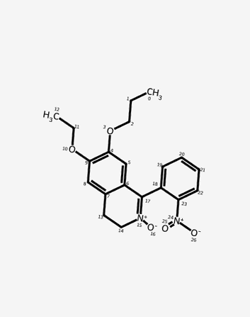 CCCOc1cc2c(cc1OCC)CC[N+]([O-])=C2c1ccccc1[N+](=O)[O-]